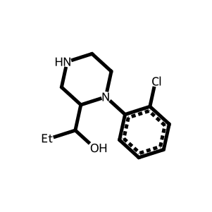 CCC(O)C1CNCCN1c1ccccc1Cl